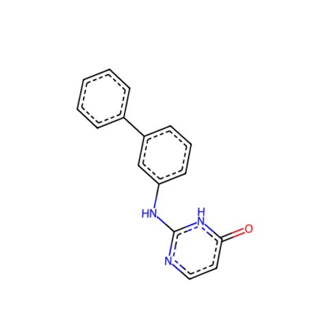 O=c1ccnc(Nc2cccc(-c3ccccc3)c2)[nH]1